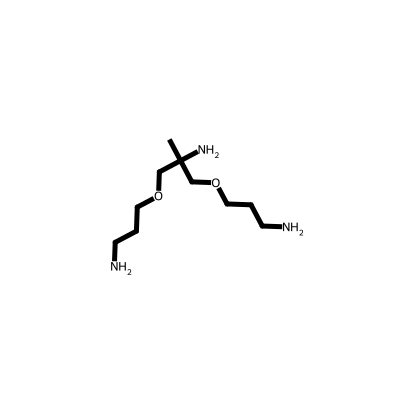 CC(N)(COCCCN)COCCCN